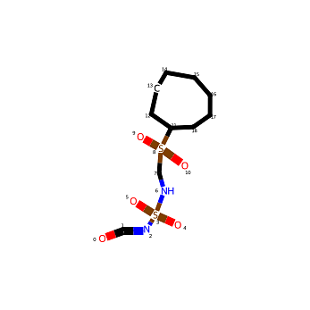 O=C=NS(=O)(=O)NCS(=O)(=O)C1CCCCCCC1